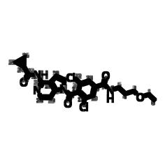 CCOCCCNC(=O)c1cc(Cl)c(C(=O)n2ccc3c(NC(=O)C4CC4)nccc32)c(Cl)c1